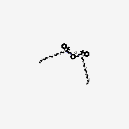 CC1(C)C(/C=C/C2=C(Cl)C(=C/C=C3/N(CCOCCOCCOCCN=[N+]=[N-])c4ccccc4C3(C)C)/CCC2)=[N+](CCOCCOCCOCCN=[N+]=[N-])c2ccccc21